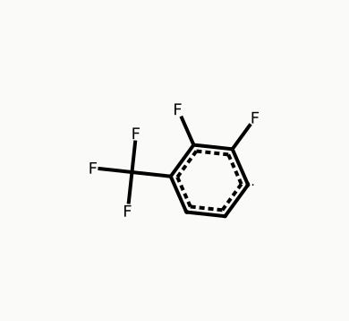 Fc1[c]ccc(C(F)(F)F)c1F